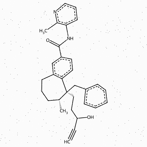 C#CC(O)CC[C@@]1(Cc2ccccc2)c2ccc(C(=O)Nc3cccnc3C)cc2CCC[C@H]1C